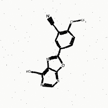 COc1ccc(-c2nc3c(O)ncnc3o2)cc1C#N